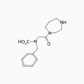 O=C(O)N(CC(=O)N1CCCNCC1)Cc1ccccc1